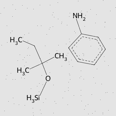 CCC(C)(C)O[SiH3].Nc1ccccc1